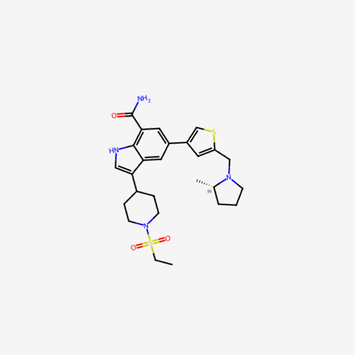 CCS(=O)(=O)N1CCC(c2c[nH]c3c(C(N)=O)cc(-c4csc(CN5CCC[C@@H]5C)c4)cc23)CC1